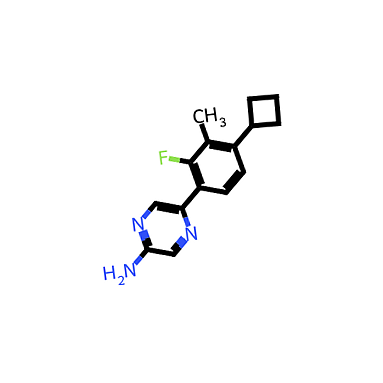 Cc1c(C2CCC2)ccc(-c2cnc(N)cn2)c1F